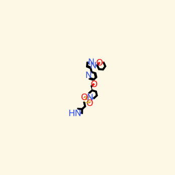 O=S(=O)(CCC1CNC1)N1CCC[C@H](COc2ccc(-c3ccnn3C3CCCCO3)nc2)C1